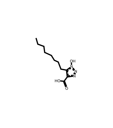 CCCCCCCCc1c(C(=O)O)nnn1O